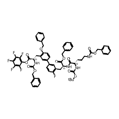 CC(C)(C)OC(=O)N[C@@H](CCCNC(=O)OCc1ccccc1)C(=O)N[C@@H](Cc1cc(-c2ccc(OCc3ccccc3)c(C[C@H](NC(=O)OCc3ccccc3)C(=O)Oc3c(F)c(F)c(F)c(F)c3F)c2)ccc1F)C(=O)OCc1ccccc1